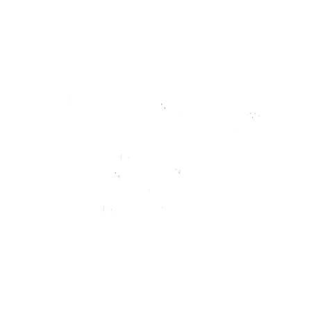 COc1cccc(-c2nc(C(=O)C(N)C(=O)O)c(O)c3c(-c4ccc(Cl)cc4)nsc23)c1